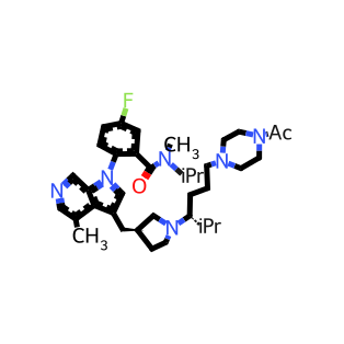 CC(=O)N1CCN(CCC[C@H](C(C)C)N2CC[C@@H](Cc3cn(-c4ccc(F)cc4C(=O)N(C)C(C)C)c4cncc(C)c34)C2)CC1